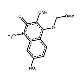 COCOc1c(OC)c(=O)n(C)c2cc([N+](=O)[O-])ccc12